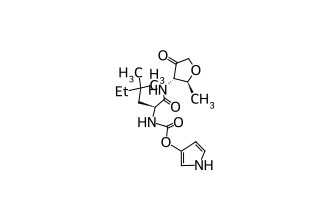 CCC(C)(C)C[C@H](NC(=O)Oc1cc[nH]c1)C(=O)N[C@@H]1C(=O)CO[C@H]1C